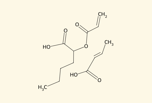 C=CC(=O)OC(CCCC)C(=O)O.CC=CC(=O)O